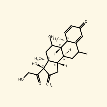 C=C1C[C@H]2[C@@H]3CC(F)C4=CC(=O)C=C[C@]4(C)[C@@]3(F)C(O)C[C@]2(C)[C@@]1(O)C(=O)CO